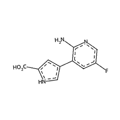 Nc1ncc(F)cc1-c1c[nH]c(C(=O)O)c1